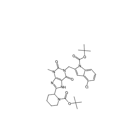 Cn1c(=O)n(Cc2cc3c(Cl)cccc3n2C(=O)OC(C)(C)C)c(=O)c2[nH]c(C3CCCCN3C(=O)OC(C)(C)C)nc21